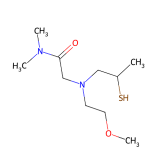 COCCN(CC(=O)N(C)C)CC(C)S